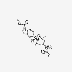 C=CC(=O)NC1CC(C)(C)N(S(=O)(=O)c2ccc3c(c2)CCN3C(=O)C2CC2)C(C)(C)C1